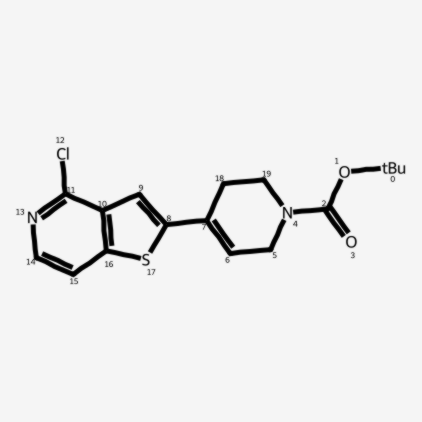 CC(C)(C)OC(=O)N1CC=C(c2cc3c(Cl)nccc3s2)CC1